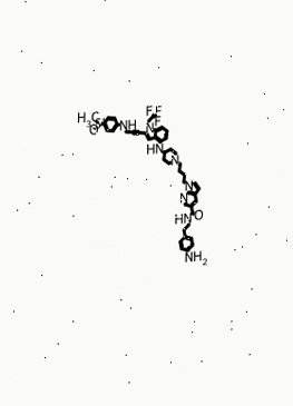 C[S+]([O-])c1ccc(NCC#Cc2cc3c(NC4CCN(CCCCn5ccc6cc(C(=O)NCCc7ccc(N)cc7)cnc65)CC4)cccc3n2CC(F)(F)F)cc1